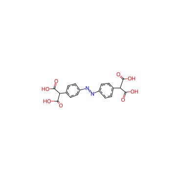 O=C(O)C(C(=O)O)c1ccc(/N=N/c2ccc(C(C(=O)O)C(=O)O)cc2)cc1